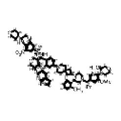 COc1cc([C@H](C(C)C)N2CCN(C3CC4(CCN(c5ccc(C(=O)NS(=O)(=O)c6cc7c(c([N+](=O)[O-])c6)N[C@H](C6CCOCC6)CO7)c(N6c7cc8cc[nH]c8nc7O[C@H]7COCC[C@@H]76)c5)CC4)C3)[C@H](c3ccccc3C)C2)cnc1N1CCOC[C@@H]1C